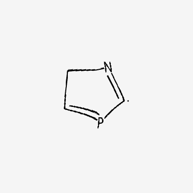 [C]1=NCC=P1